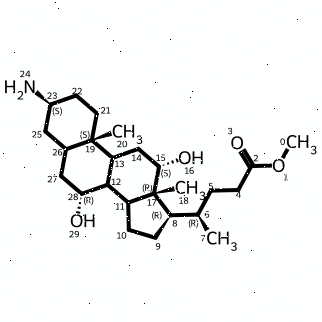 COC(=O)CC[C@@H](C)[C@H]1CCC2C3C(C[C@H](O)[C@@]21C)[C@@]1(C)CC[C@H](N)CC1C[C@H]3O